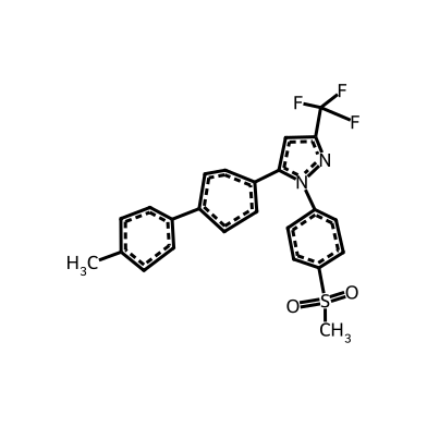 Cc1ccc(-c2ccc(-c3cc(C(F)(F)F)nn3-c3ccc(S(C)(=O)=O)cc3)cc2)cc1